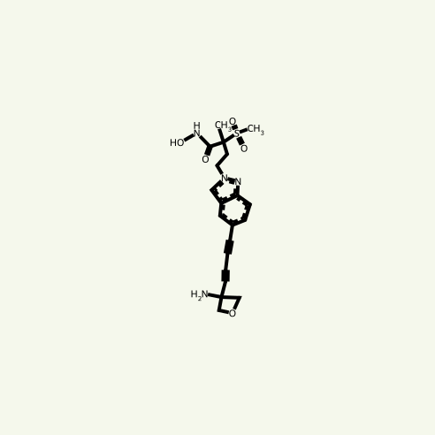 CC(CCn1cc2cc(C#CC#CC3(N)COC3)ccc2n1)(C(=O)NO)S(C)(=O)=O